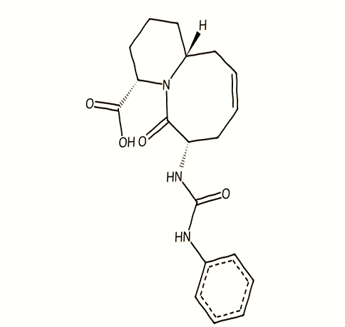 O=C(Nc1ccccc1)N[C@H]1C/C=C\C[C@H]2CCC[C@@H](C(=O)O)N2C1=O